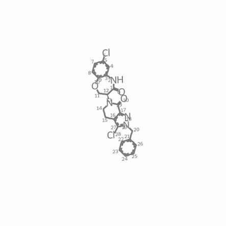 O=C1Nc2cc(Cl)ccc2OC[C@@H]1N1CCc2c(nn(Cc3ccccc3)c2Cl)C1=O